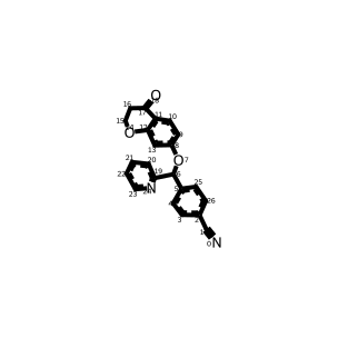 N#Cc1ccc(C(Oc2ccc3c(c2)OCCC3=O)c2ccccn2)cc1